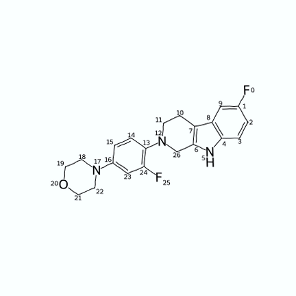 Fc1ccc2[nH]c3c(c2c1)CCN(c1ccc(N2CCOCC2)cc1F)C3